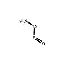 BOP=O